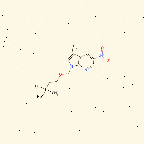 Cc1cn(COCC[Si](C)(C)C)c2ncc([N+](=O)[O-])cc12